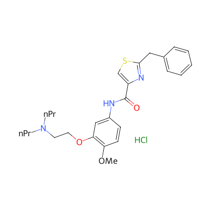 CCCN(CCC)CCOc1cc(NC(=O)c2csc(Cc3ccccc3)n2)ccc1OC.Cl